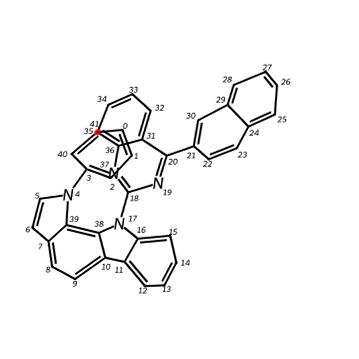 c1ccc(-n2ccc3ccc4c5ccccc5n(-c5nc(-c6ccc7ccccc7c6)c6ccccc6n5)c4c32)cc1